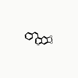 C(=C/c1ccnc2cc3c(cc12)OCO3)/c1ccccc1